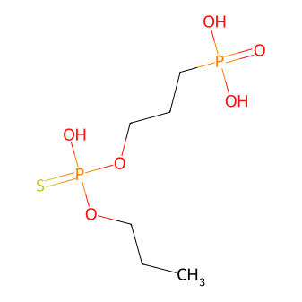 CCCOP(O)(=S)OCCCP(=O)(O)O